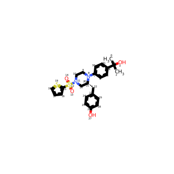 CC(C)(O)c1ccc(N2CCN(S(=O)(=O)c3cccs3)C[C@H]2Cc2ccc(O)cc2)cc1